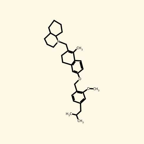 COc1cc(CC(C)C)ccc1COc1ccc2c(c1)CCC(CN1CCCC3CCCCC31)=C2C